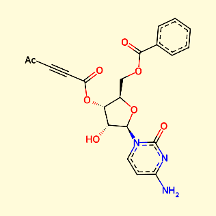 CC(=O)C#CC(=O)O[C@H]1[C@@H](O)[C@H](n2ccc(N)nc2=O)O[C@@H]1COC(=O)c1ccccc1